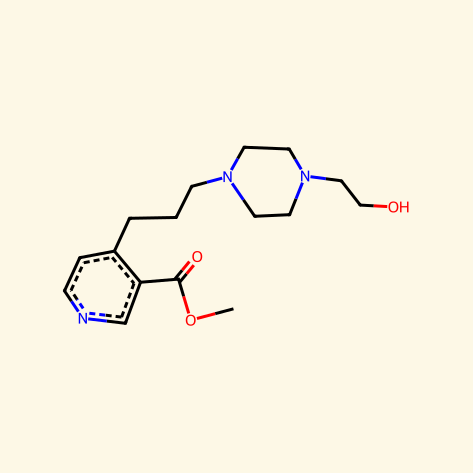 COC(=O)c1cnccc1CCCN1CCN(CCO)CC1